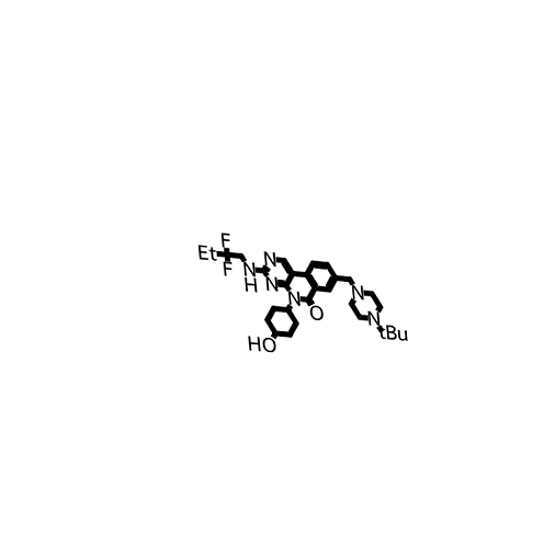 CCC(F)(F)CNc1ncc2c3ccc(CN4CCN(C(C)(C)C)CC4)cc3c(=O)n(C3CCC(O)CC3)c2n1